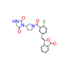 O=C1O/C(=C\c2ccc(F)c(C(=O)N3CCC(N4C(=O)CNC4=O)C3)c2)c2ccccc21